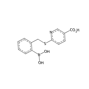 O=C(O)c1ccc(SCc2ccccc2B(O)O)nc1